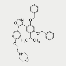 CC(C)c1cc(-c2ncoc2-c2ccc(OCCN3CCOCC3)cc2)c(OCc2ccccc2)cc1OCc1ccccc1